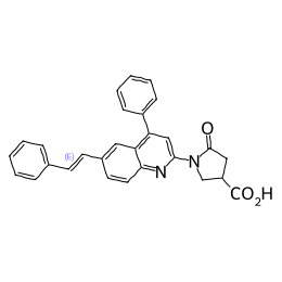 O=C(O)C1CC(=O)N(c2cc(-c3ccccc3)c3cc(/C=C/c4ccccc4)ccc3n2)C1